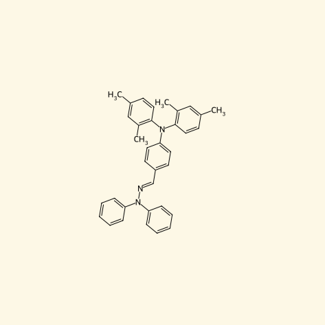 Cc1ccc(N(c2ccc(C=NN(c3ccccc3)c3ccccc3)cc2)c2ccc(C)cc2C)c(C)c1